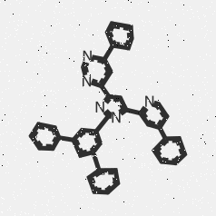 c1ccc(-c2cc(-c3ccccc3)cc(-c3nc(-c4cc(-c5ccccc5)ccn4)cc(-c4cc(-c5ccccc5)ncn4)n3)c2)cc1